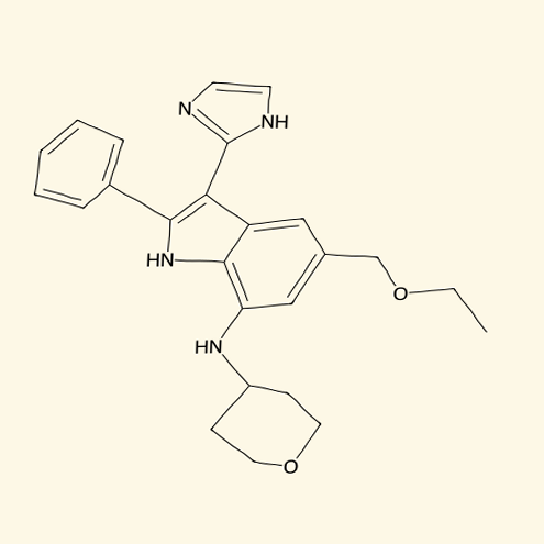 CCOCc1cc(NC2CCOCC2)c2[nH]c(-c3ccccc3)c(-c3ncc[nH]3)c2c1